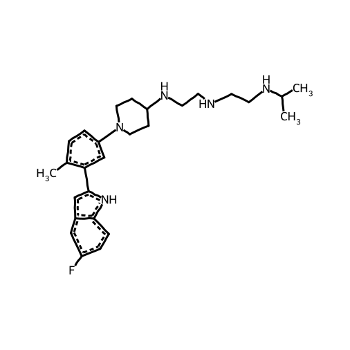 Cc1ccc(N2CCC(NCCNCCNC(C)C)CC2)cc1-c1cc2cc(F)ccc2[nH]1